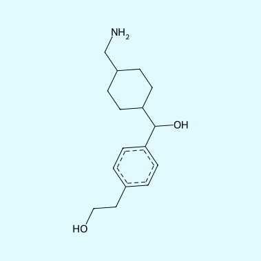 NCC1CCC(C(O)c2ccc(CCO)cc2)CC1